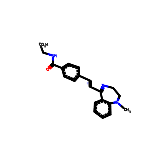 CN1CCN=C(/C=C/c2ccc(C(=O)NCC(=O)O)cc2)c2ccccc21